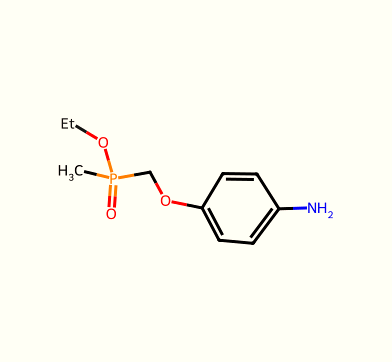 CCOP(C)(=O)COc1ccc(N)cc1